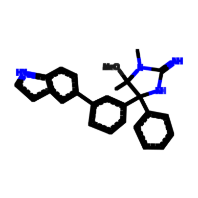 COC1(C)N(C)C(=N)NC1(c1ccccc1)c1cccc(-c2ccc3[nH]ccc3c2)c1